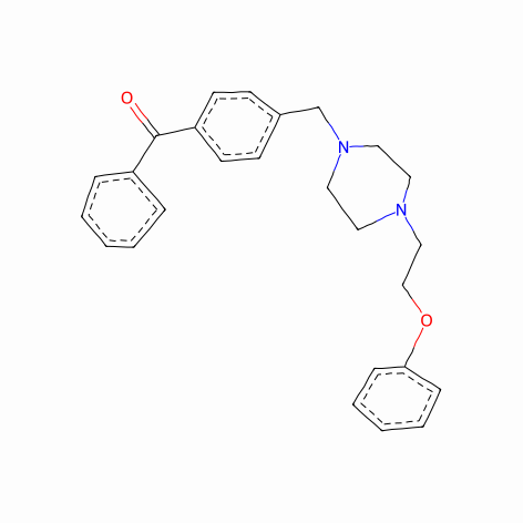 O=C(c1ccccc1)c1ccc(CN2CCN(CCOc3ccccc3)CC2)cc1